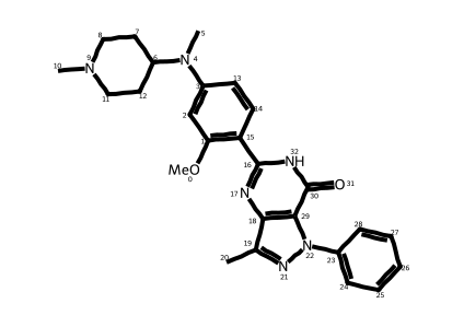 COc1cc(N(C)C2CCN(C)CC2)ccc1-c1nc2c(C)nn(-c3ccccc3)c2c(=O)[nH]1